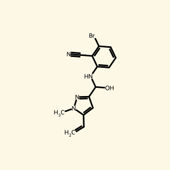 C=Cc1cc(C(O)Nc2cccc(Br)c2C#N)nn1C